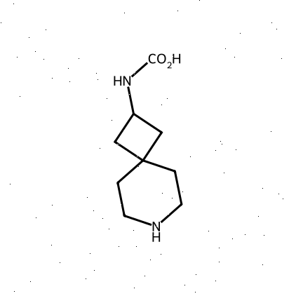 O=C(O)NC1CC2(CCNCC2)C1